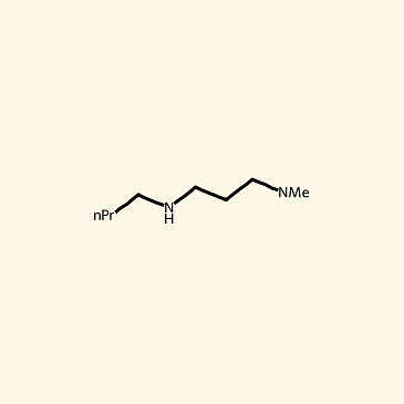 [CH2]CCCNCCCNC